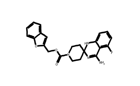 NC1=NC2(CCN(C(=O)OCc3cc4ccccc4o3)CC2)Nc2cccc(F)c21